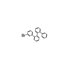 Brc1cccc(-c2ccccc2-c2ccccc2-c2ccccc2)c1